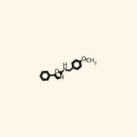 COc1ccc(CNc2ncc(-c3ccccc3)o2)cc1